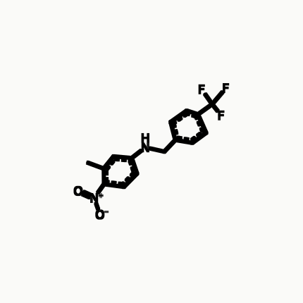 Cc1cc(NCc2ccc(C(F)(F)F)cc2)ccc1[N+](=O)[O-]